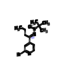 CCC/C(=N\[S+]([O-])C(C)(C)C)c1ccnc(Br)c1